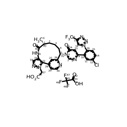 C[C@@H]1CCC[C@H](n2cnc(-c3cc(Cl)ccc3-n3cc(C(F)(F)F)nn3)cc2=O)c2cc(ccn2)-c2c(cnn2CC(=O)O)NC1=O.O=C(O)C(F)(F)F